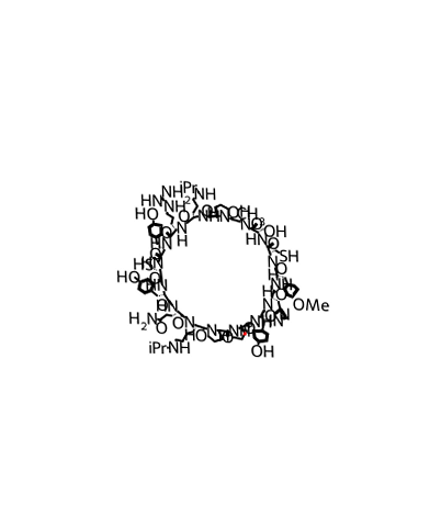 COc1ccc(C[C@@H]2NC(=O)[C@H](Cc3c[nH]cn3)NC(=O)[C@H](Cc3ccc(O)cc3)NC(=O)[C@@H]3CCCN3C(=O)[C@H]3CCCN3C(=O)[C@H](CCCCNC(C)C)NC(=O)[C@H](CCC(N)=O)NC(=O)[C@H](Cc3ccc(O)cc3)NC(=O)[C@H](CS)NC(=O)[C@H](Cc3ccc(O)cc3)NC(=O)[C@H](CCCNC(=N)N)NC(=O)[C@H](CCCNC(C)C)NC(=O)[C@H]3CCCN3C(=O)[C@H](C)NC(=O)[C@H](CO)NC(=O)[C@H](CS)NC2=O)cc1